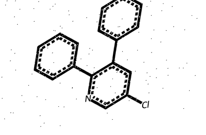 Clc1cnc(-c2ccccc2)c(-c2ccccc2)c1